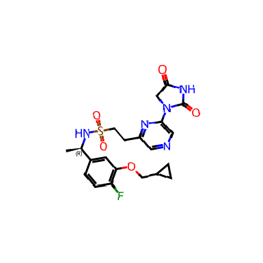 C[C@@H](NS(=O)(=O)CCc1cncc(N2CC(=O)NC2=O)n1)c1ccc(F)c(OCC2CC2)c1